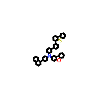 c1cc(-c2cccc(N(c3ccc(-c4cccc5ccccc45)cc3)c3ccc4oc5ccccc5c4c3)c2)cc(-c2cccc3c2sc2ccccc23)c1